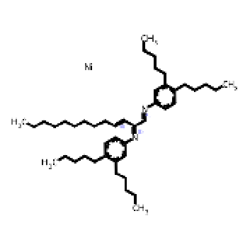 CCCCCCCCC/C=C/C(/C=N/c1ccc(CCCCC)c(CCCCC)c1)=N\c1ccc(CCCCC)c(CCCCC)c1.[Ni]